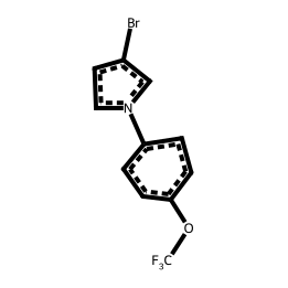 FC(F)(F)Oc1ccc(-n2ccc(Br)c2)cc1